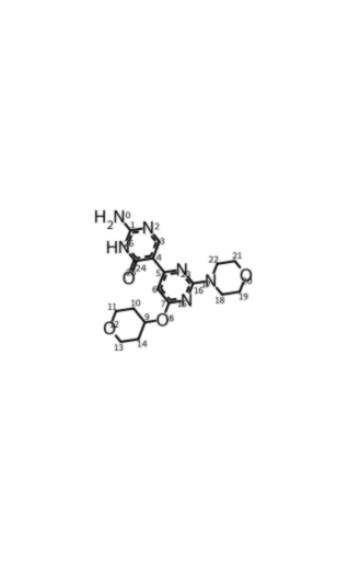 Nc1ncc(-c2cc(OC3CCOCC3)nc(N3CCOCC3)n2)c(=O)[nH]1